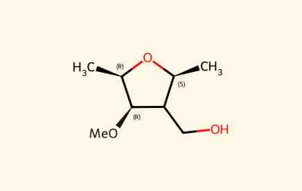 CO[C@@H]1C(CO)[C@H](C)O[C@@H]1C